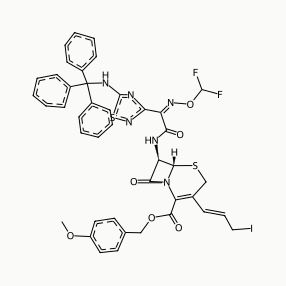 COc1ccc(COC(=O)C2=C(/C=C/CI)CS[C@H]3[C@H](NC(=O)/C(=N\OC(F)F)c4nsc(NC(c5ccccc5)(c5ccccc5)c5ccccc5)n4)C(=O)N23)cc1